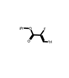 [2H]/C=C(\F)C(=O)OC(C)C